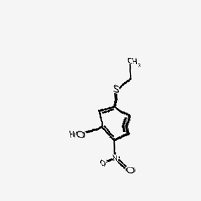 CCSc1ccc([N+](=O)[O-])c(O)c1